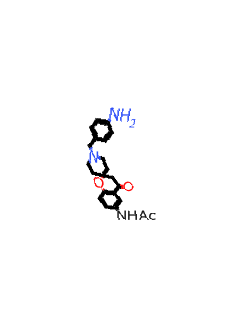 CC(=O)Nc1ccc2c(c1)C(=O)CC1(CCN(Cc3ccc(N)cc3)CC1)O2